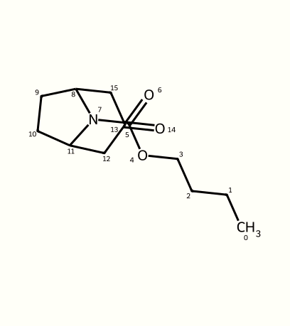 CCCCOC(=O)N1C2CCC1CC(=O)C2